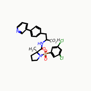 C[C@@]1(C(=O)NC(Cc2ccc(-c3cccnc3)cc2)C(=O)O)CCCN1S(=O)(=O)c1cc(Cl)cc(Cl)c1